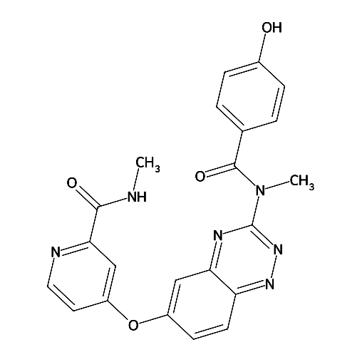 CNC(=O)c1cc(Oc2ccc3nnc(N(C)C(=O)c4ccc(O)cc4)nc3c2)ccn1